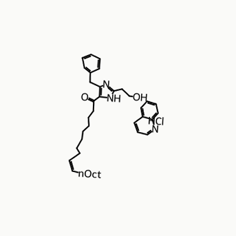 CCCCCCCC/C=C\CCCCCCCC(=O)c1[nH]c(CCO)nc1Cc1ccccc1.Cl.c1ccc2ncccc2c1